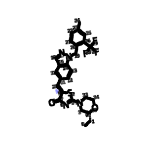 CC[C@@H]1CN(C2=NC(=O)/C(=C/c3ccc4c(cnn4Cc4ccc(C)cc4C(F)(F)F)c3)S2)CCO1